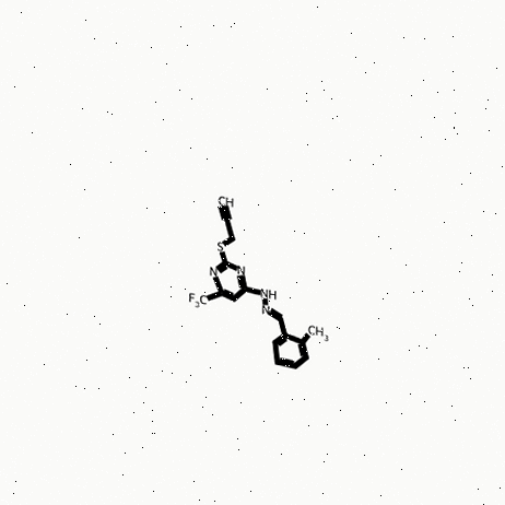 C#CCSc1nc(NN=Cc2ccccc2C)cc(C(F)(F)F)n1